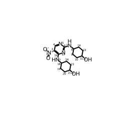 O=[N+]([O-])c1cnc(NC2CCC(O)CC2)nc1NC1CCC(O)CC1